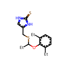 CCc1cccc(CC)c1OC(CC)SCc1c[nH]c(=S)[nH]1